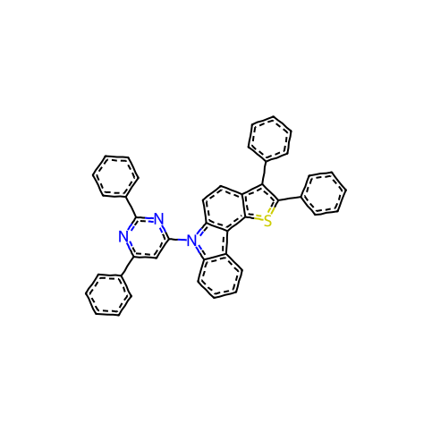 c1ccc(-c2cc(-n3c4ccccc4c4c5sc(-c6ccccc6)c(-c6ccccc6)c5ccc43)nc(-c3ccccc3)n2)cc1